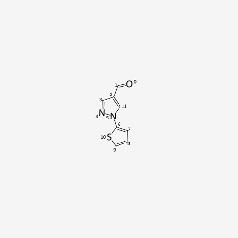 O=Cc1cnn(-c2cccs2)c1